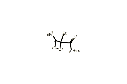 CCCCCCC(=O)C1(CC)OOC1CCC